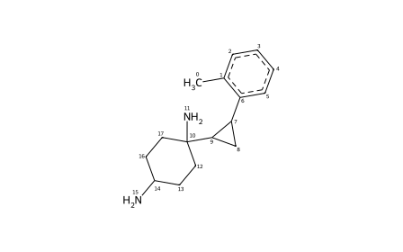 Cc1ccccc1C1CC1C1(N)CCC(N)CC1